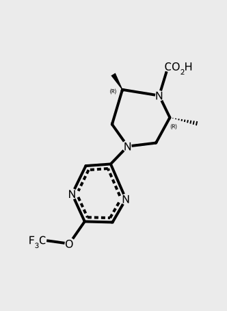 C[C@@H]1CN(c2cnc(OC(F)(F)F)cn2)C[C@@H](C)N1C(=O)O